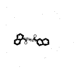 O=C(NNC(=O)c1cccc2ccccc12)c1ccc2ccccc2c1